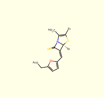 CCC1=C(C(=O)O)N2C(=S)/C(=C\c3ccc(COC(C)=O)o3)[C@@H]2S1